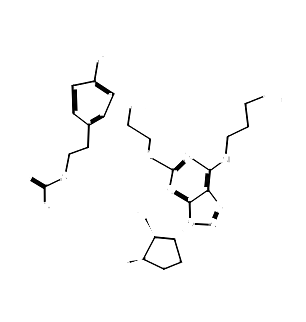 CCCCNc1nc(SCCC)nc2c1nnn2[C@@H]1CC[C@@H](O)[C@H]1O.O=C(O)NCCc1ccc(O)cc1